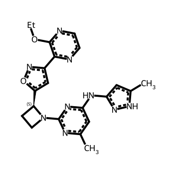 CCOc1nccnc1-c1cc([C@@H]2CCN2c2nc(C)cc(Nc3cc(C)[nH]n3)n2)on1